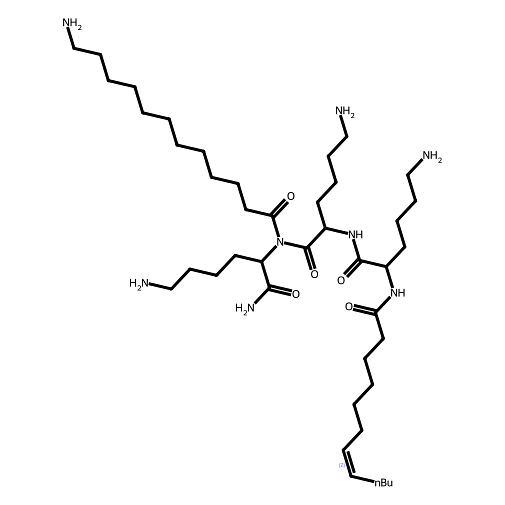 CCCC/C=C\CCCCCC(=O)NC(CCCCN)C(=O)NC(CCCCN)C(=O)N(C(=O)CCCCCCCCCCCN)C(CCCCN)C(N)=O